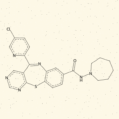 O=C(NN1CCCCCC1)c1ccc2c(c1)N=C(c1ccc(Cl)cn1)c1cncnc1S2